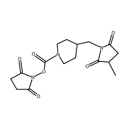 CC1CC(=O)N(CC2CCN(C(=O)ON3C(=O)CCC3=O)CC2)C1=O